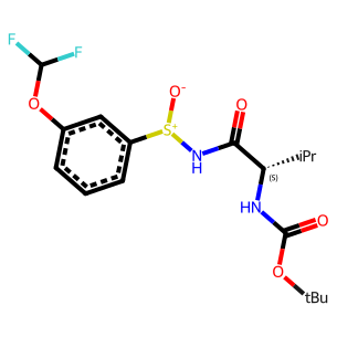 CC(C)[C@H](NC(=O)OC(C)(C)C)C(=O)N[S+]([O-])c1cccc(OC(F)F)c1